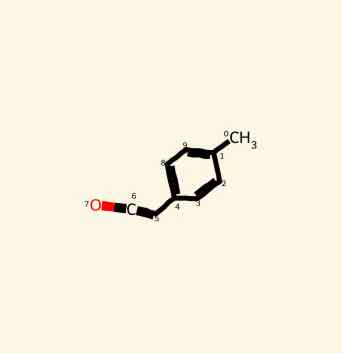 Cc1ccc(C=C=O)cc1